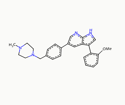 COc1ccccc1-c1c[nH]c2ncc(-c3ccc(CN4CCN(C)CC4)cc3)cc12